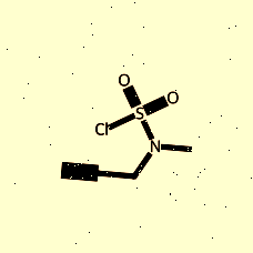 C#CCN(C)S(=O)(=O)Cl